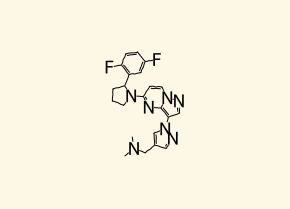 CN(C)Cc1cnn(-c2cnn3ccc(N4CCCC4c4cc(F)ccc4F)nc23)c1